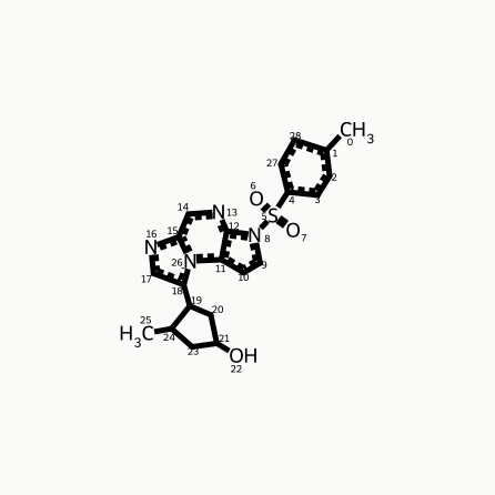 Cc1ccc(S(=O)(=O)n2ccc3c2ncc2ncc(C4CC(O)CC4C)n23)cc1